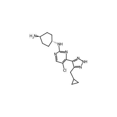 N[C@H]1CC[C@H](Nc2ncc(Cl)c(-c3n[nH]nc3CC3CC3)n2)CC1